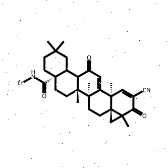 CCNC(=O)[C@]12CCC(C)(C)CC1C1C(=O)C=C3[C@@]4(C)C=C(C#N)C(=O)C5(C)C[C@]54CC[C@@]3(C)[C@]1(C)CC2